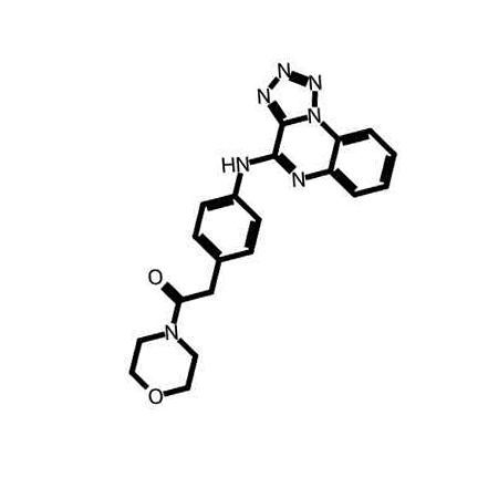 O=C(Cc1ccc(Nc2nc3ccccc3n3nnnc23)cc1)N1CCOCC1